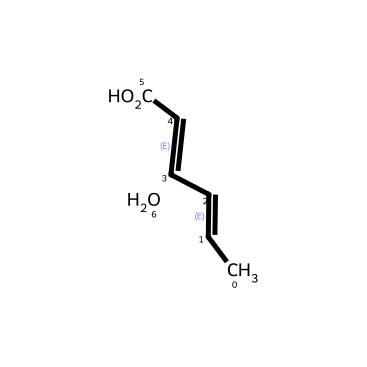 C/C=C/C=C/C(=O)O.O